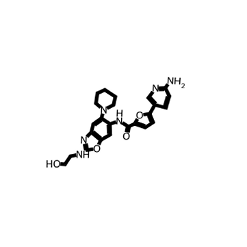 Nc1ccc(-c2ccc(C(=O)Nc3cc4oc(NCCO)nc4cc3N3CCCCC3)o2)cn1